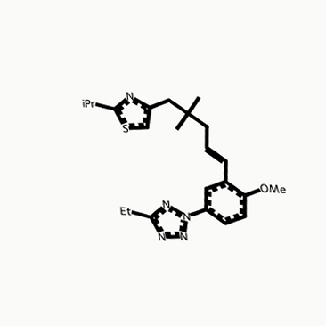 CCc1nnn(-c2ccc(OC)c(/C=C/CC(C)(C)Cc3csc(C(C)C)n3)c2)n1